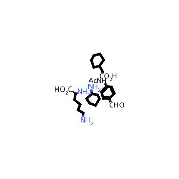 CC(=O)Nc1ccc(C=O)cc1.NC1CCCCC1.NCCCC[C@H](N)C(=O)O.O=C(O)CC1CCCCC1